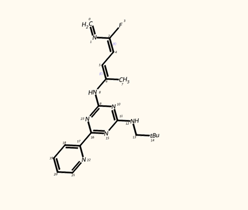 C=N/C(F)=C\C=C(/C)Nc1nc(NCC(C)(C)C)nc(-c2ccccn2)n1